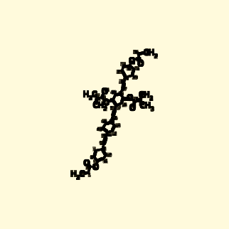 C=CC(=O)Oc1ccc(C#Cc2ccc(C#Cc3cc(OC(=O)C(=C)C)c(C#Cc4ccc(OC(=O)C=C)cc4)cc3OC(=O)C(=C)C)cc2)cc1